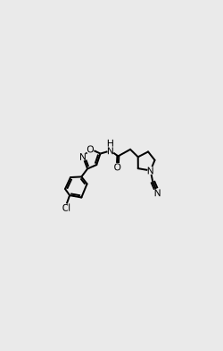 N#CN1CCC(CC(=O)Nc2cc(-c3ccc(Cl)cc3)no2)C1